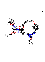 CCOC(=O)[C@H]1CN(C(=O)OC(C)(C)C)C[C@H]1NC(=O)c1ccc2cc1OCCCCCCOc1ccc(cc1)CNc1nc(nc(OCC)n1)N2